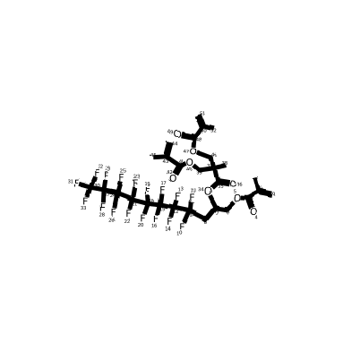 C=C(C)C(=O)OCC(CC(F)(F)C(F)(F)C(F)(F)C(F)(F)C(F)(F)C(F)(F)C(F)(F)C(F)(F)F)OC(=O)C(C)(COC(=O)C(=C)C)COC(=O)C(=C)C